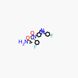 NC(=O)C1([C@@H]2CC(=O)N(c3ccc4c(cnn4-c4ccc(F)cc4)c3)[C@H]2c2cccc(F)c2)CC1